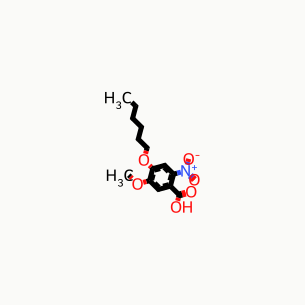 CCCCCCOc1cc([N+](=O)[O-])c(C(=O)O)cc1OC